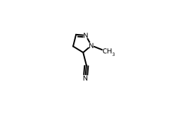 CN1N=CCC1C#N